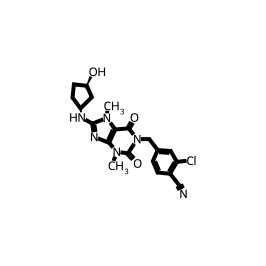 Cn1c(N[C@@H]2CC[C@@H](O)C2)nc2c1c(=O)n(Cc1ccc(C#N)c(Cl)c1)c(=O)n2C